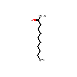 COCCCCCCCCC(=O)NC(C)=O